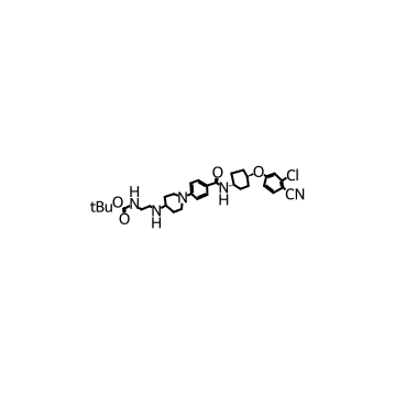 CC(C)(C)OC(=O)NCCNC1CCN(c2ccc(C(=O)N[C@H]3CC[C@H](Oc4ccc(C#N)c(Cl)c4)CC3)cc2)CC1